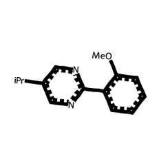 COc1ccccc1-c1ncc(C(C)C)cn1